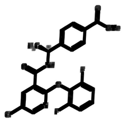 COC(=O)c1ccc([C@H](C)NC(=O)c2cc(Cl)cnc2Oc2c(F)cccc2F)cc1